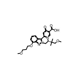 COCCCOc1cccc2c3n(nc12)C[C@H](C(C)(C)COC)n1cc(C(=O)O)c(=O)cc1-3